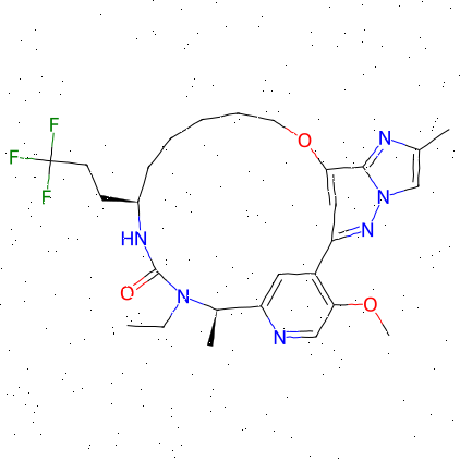 CCN1C(=O)N[C@@H](CCC(F)(F)F)CCCCCOc2cc(nn3cc(C)nc23)-c2cc(ncc2OC)[C@H]1C